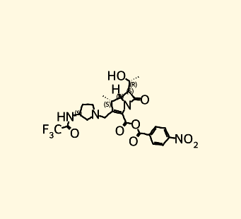 C[C@@H](O)[C@H]1C(=O)N2C(C(=O)OC(=O)c3ccc([N+](=O)[O-])cc3)=C(CN3CC[C@H](NC(=O)C(F)(F)F)C3)[C@H](C)[C@H]12